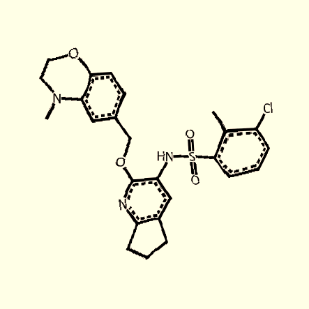 Cc1c(Cl)cccc1S(=O)(=O)Nc1cc2c(nc1OCc1ccc3c(c1)N(C)CCO3)CCC2